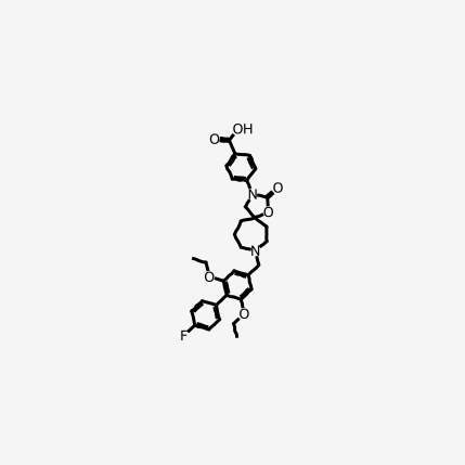 CCOc1cc(CN2CCCC3(CC2)CN(c2ccc(C(=O)O)cc2)C(=O)O3)cc(OCC)c1-c1ccc(F)cc1